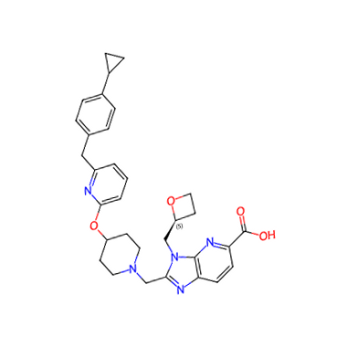 O=C(O)c1ccc2nc(CN3CCC(Oc4cccc(Cc5ccc(C6CC6)cc5)n4)CC3)n(C[C@@H]3CCO3)c2n1